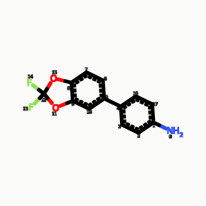 Nc1ccc(-c2ccc3c(c2)OC(F)(F)O3)cc1